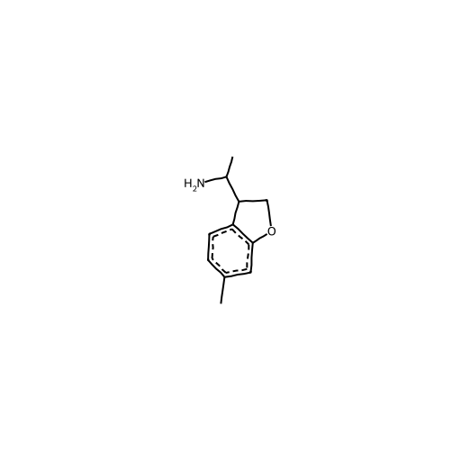 Cc1ccc2c(c1)OCC2C(C)N